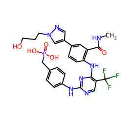 CNC(=O)c1cc(-c2cnn(CCCO)c2)ccc1Nc1nc(Nc2ccc(CP(=O)(O)O)cc2)ncc1C(F)(F)F